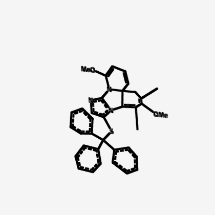 COC1=CC=CC23CC(C)=C(OC)C(C)=C2n2c(SC(c4ccccc4)(c4ccccc4)c4ccccc4)cnc2N13